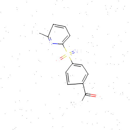 COC(=O)c1ccc(S(=N)(=O)c2cccc(C)n2)cc1